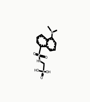 CN(C)c1cccc2c(S(=O)(=O)NCP(=O)(O)O)cccc12